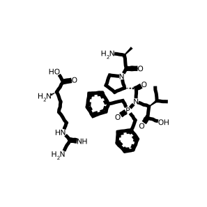 CC(C)[C@@H](C(=O)O)N(C(=O)[C@@H]1CCCN1C(=O)[C@H](C)N)P(=O)(Cc1ccccc1)Cc1ccccc1.N=C(N)NCCC[C@H](N)C(=O)O